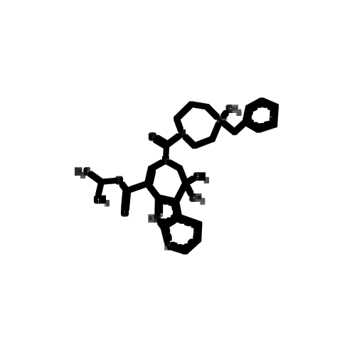 CC(C)OC(=O)C1=CN(C(=O)N2CCC[N+](C)(Cc3ccccc3)CC2)CC(C)(C)c2c1[nH]c1ncccc21